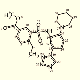 CCc1ccc(C(=O)OC)cc1S(=O)(=O)Nc1cc(-n2cnnn2)ccc1N1CCCCC1